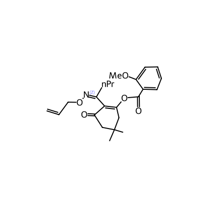 C=CCO/N=C(/CCC)C1=C(OC(=O)c2ccccc2OC)CC(C)(C)CC1=O